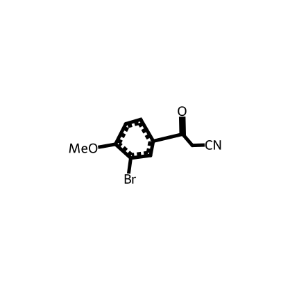 COc1ccc(C(=O)CC#N)cc1Br